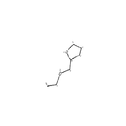 CCOCC1CCCO1